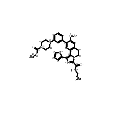 COc1cc2c(cc1-c1cccc(N3CCN(C(=O)OC(C)(C)C)CC3)c1)-c1c(-c3cccs3)nc(C(=O)NCC(C)(C)C)n1CC2